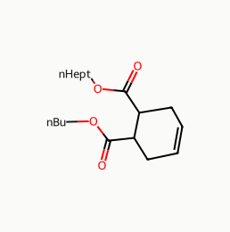 CCCCCCCOC(=O)C1CC=CCC1C(=O)OCCCC